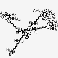 CCOP(=O)(O)OCCCCCCNC(=O)CCCC(=O)N1CCCC1C(=O)NC(COCCC(=O)NCCCCCCOC1OC(COC(C)=O)C(OC(C)=O)C(OC(C)=O)C1NC(C)=O)(COCCC(=O)NCCCCCCOC1OC(COC(C)=O)C(OC(C)=O)C(OC(C)=O)C1NC(C)=O)COCCC(=O)NCCCCCCOC1OC(COC(C)=O)C(OC(C)=O)C(OC(C)=O)C1NC(C)=O